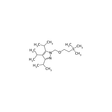 CC(C)c1nn(COCCS(C)(C)C)c(C(C)C)c1C(C)C